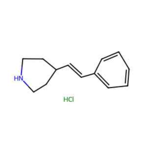 C(=CC1CCNCC1)c1ccccc1.Cl